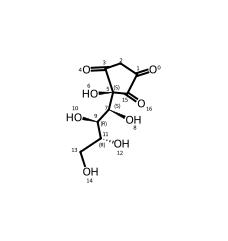 O=C1CC(=O)[C@@](O)([C@@H](O)[C@H](O)[C@H](O)CO)C1=O